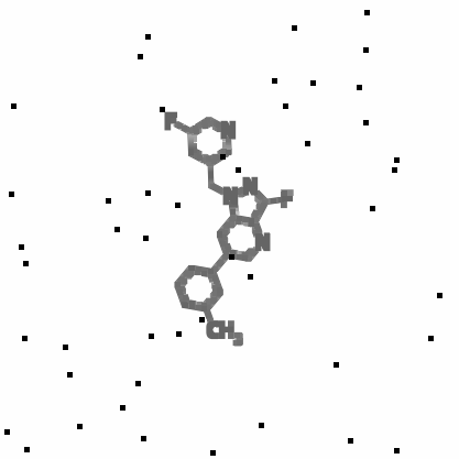 Cc1cccc(-c2cnc3c(F)nn(Cc4cncc(F)c4)c3c2)c1